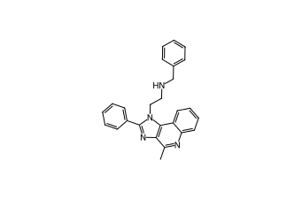 Cc1nc2ccccc2c2c1nc(-c1ccccc1)n2CCNCc1ccccc1